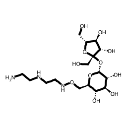 NCCNCCNOC[C@H]1O[C@H](O[C@]2(CO)O[C@H](CO)[C@@H](O)[C@@H]2O)[C@H](O)[C@@H](O)[C@@H]1O